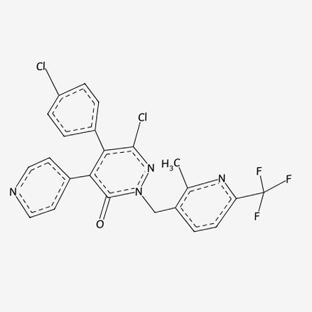 Cc1nc(C(F)(F)F)ccc1Cn1nc(Cl)c(-c2ccc(Cl)cc2)c(-c2ccncc2)c1=O